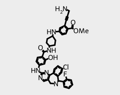 COC(=O)c1ccc(NC2CCC(NC(=O)c3ccc(Nc4ncc5c(n4)-c4ccc(Cl)cc4C(c4ccccc4F)=NC5)cc3O)CC2)cc1C#CCN